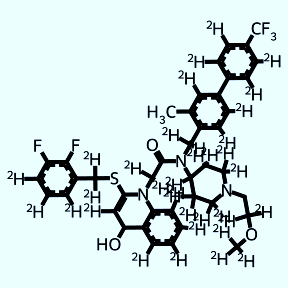 [2H]C1=C(SC([2H])([2H])c2c([2H])c([2H])c([2H])c(F)c2F)N(C([2H])([2H])C(=O)N(C([2H])([2H])c2c([2H])c([2H])c(-c3c([2H])c([2H])c(C(F)(F)F)c([2H])c3[2H])c([2H])c2C)C2([2H])C([2H])([2H])C([2H])([2H])N(CC([2H])([2H])OC([2H])([2H])[2H])C([2H])([2H])C2([2H])[2H])c2c([2H])c([2H])c([2H])c([2H])c2C1O